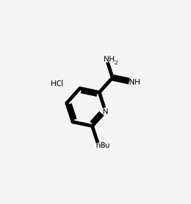 CCCCc1cccc(C(=N)N)n1.Cl